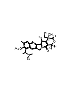 [2H]c1c2c(c(=O)n3c1-c1nc4cc(C)c(OC)c(C(C)N(C)CC)c4cc1C3)C([2H])([2H])OC(=O)[C@]2(O)CC(C)C